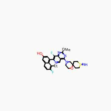 CCc1c(F)ccc2cc(O)cc(-c3ncc4c(N5CCOC6(CCS(=N)CC6)C5)nc(OC)nc4c3F)c12